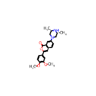 COc1ccc(-c2cc3ccc(N4C[C@@H](C)N[C@@H](C)C4)cc3c(=O)o2)cc1OC